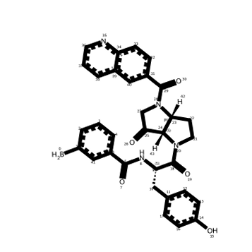 Bc1cccc(C(=O)N[C@@H](Cc2ccc(O)cc2)C(=O)N2CC[C@@H]3[C@H]2C(=O)CN3C(=O)c2ccc3ncccc3c2)c1